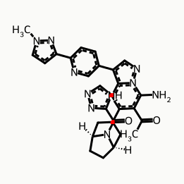 CC(=O)c1c(C2C[C@H]3CC[C@@H](C2)N3C(=O)c2nnc[nH]2)nc2c(-c3ccc(-c4ccn(C)n4)nc3)cnn2c1N